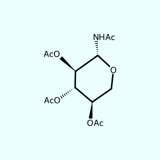 CC(=O)N[C@@H]1OC[C@@H](OC(C)=O)[C@H](OC(C)=O)[C@H]1OC(C)=O